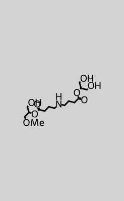 COCC(CO)OC(=O)CCCNCCCC(=O)OC(CO)CO